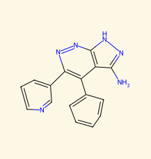 Nc1n[nH]c2nnc(-c3cccnc3)c(-c3ccccc3)c12